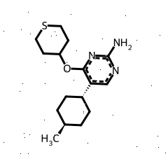 C[C@H]1CC[C@H](c2cnc(N)nc2OC2CCSCC2)CC1